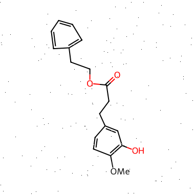 COc1ccc(CCC(=O)OCCc2ccccc2)cc1O